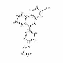 CCOC(=O)CCc1ccc(OCc2cc(F)ccc2-c2ccncc2)cc1